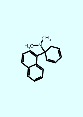 CN(C)C1(c2cccc3ccccc23)C=CC=CC1